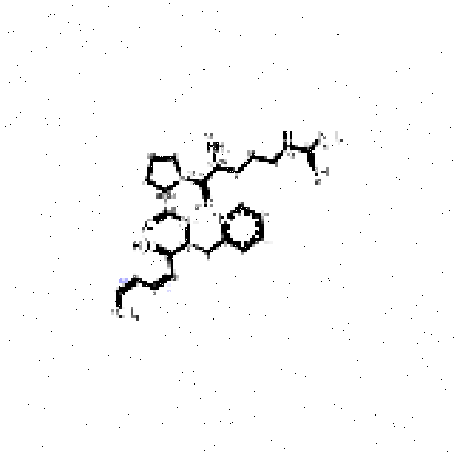 C=C(/C=C\C=C/C)[C@H](Cc1ccccn1)NC(=O)[C@@H]1CCCN1C(=O)[C@@H](N)CCCNC(=N)N